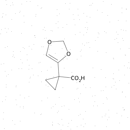 O=C(O)C1(C2=COCO2)CC1